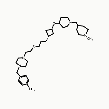 Cc1ccc(CN2CCN(CCOCCC[C@H]3C[C@H](OC4CCN(CC5CCN(C)CC5)CC4)C3)CC2)cc1